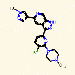 CN1CCN(c2nc(-c3n[nH]c4cnc(-c5cnn(C)c5)cc34)ccc2Br)CC1